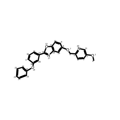 COc1ccc(COc2ccc3oc(-c4cccc(Oc5ccccc5)c4)nc3c2)nc1